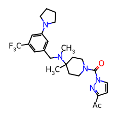 CC(=O)c1ccn(C(=O)N2CCC(C)(N(C)Cc3cc(N4CCCC4)cc(C(F)(F)F)c3)CC2)n1